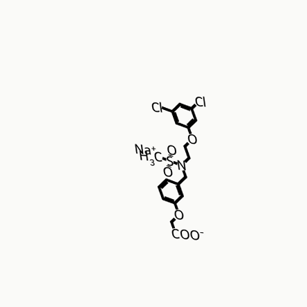 CS(=O)(=O)N(CCOc1cc(Cl)cc(Cl)c1)Cc1cccc(OCC(=O)[O-])c1.[Na+]